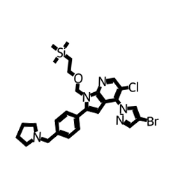 C[Si](C)(C)CCOCn1c(-c2ccc(CN3CCCC3)cc2)cc2c(-n3cc(Br)cn3)c(Cl)cnc21